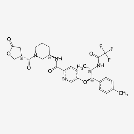 Cc1ccc([C@@H](Oc2ccc(C(=O)N[C@@H]3CCCN(C(=O)[C@@H]4COC(=O)C4)C3)nc2)[C@H](C)NC(=O)C(F)(F)F)cc1